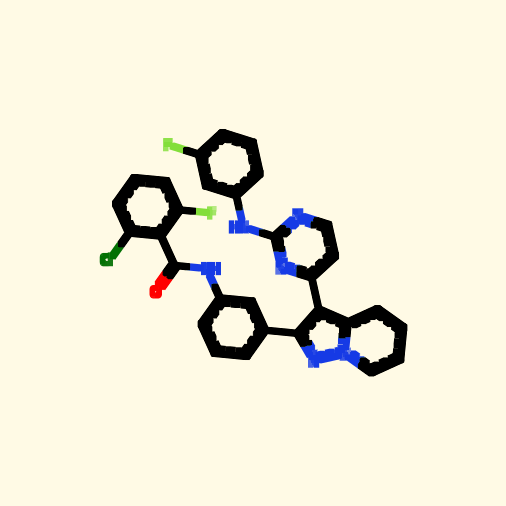 O=C(Nc1cccc(-c2nn3ccccc3c2-c2ccnc(Nc3cccc(F)c3)n2)c1)c1c(F)cccc1Cl